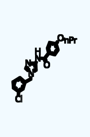 CCCOc1ccc(C(=O)Nc2cn(Cc3cccc(Cl)c3)cn2)cc1